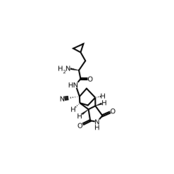 N#C[C@]1(NC(=O)[C@@H](N)CC2CC2)C[C@@H]2C[C@H]1[C@H]1C(=O)NC(=O)[C@@H]21